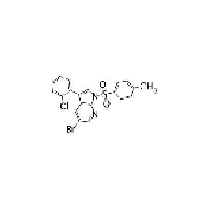 Cc1ccc(S(=O)(=O)n2cc(-c3ccccc3Cl)c3cc(Br)cnc32)cc1